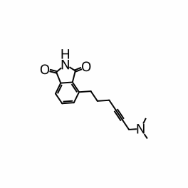 CN(C)CC#CCCCc1cccc2c1C(=O)NC2=O